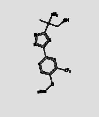 CCCCCCCCCCOc1ccc(-c2nnc(C(C)(N)CO)s2)cc1C(F)(F)F